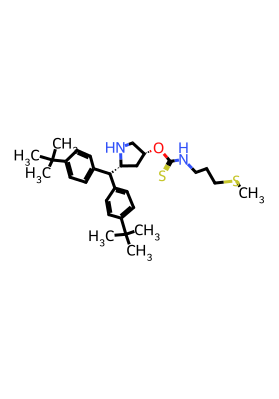 CSCCCNC(=S)O[C@H]1CN[C@@H](C(c2ccc(C(C)(C)C)cc2)c2ccc(C(C)(C)C)cc2)C1